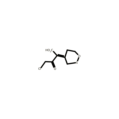 O=C(O)C(C(=O)CCl)=C1CCOSC1